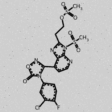 CS(=O)(=O)OCCc1nc2c(-c3noc(=O)n3-c3ccc(F)c(Cl)c3)ccnc2n1S(C)(=O)=O